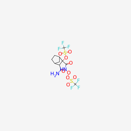 NC(=O)C1C2CCC(C2)C1(OS(=O)(=O)C(F)(F)F)C(=O)NOOS(=O)(=O)C(F)(F)F